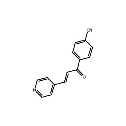 N#Cc1ccc(C(=O)C=Cc2ccncc2)cc1